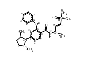 C[C@@H]1CC[C@@H](C)N1c1ncc(C(=O)N[C@@H](C)/C=C/S(C)(=O)=O)c(Oc2ccccc2)n1